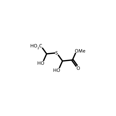 COC(=O)C(O)SC(O)C(=O)O